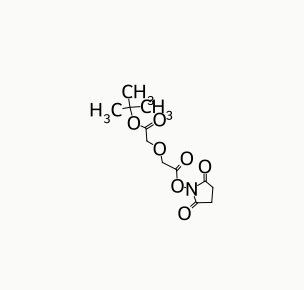 CC(C)(C)OC(=O)COCC(=O)ON1C(=O)CCC1=O